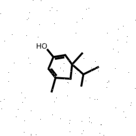 CC1=CC(O)=CC(C)(C(C)C)C1